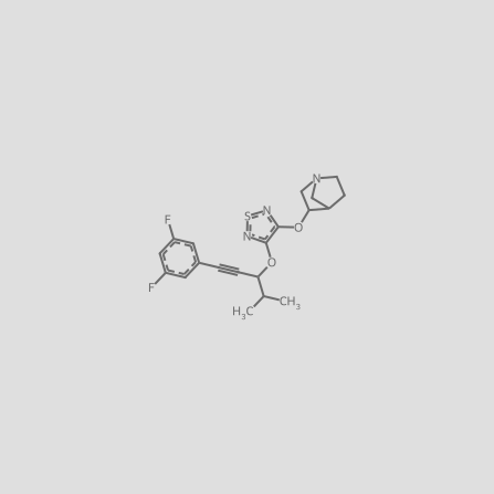 CC(C)C(C#Cc1cc(F)cc(F)c1)Oc1nsnc1OC1CN2CCC1C2